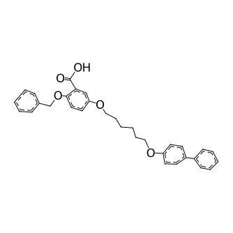 O=C(O)c1cc(OCCCCCCOc2ccc(-c3ccccc3)cc2)ccc1OCc1ccccc1